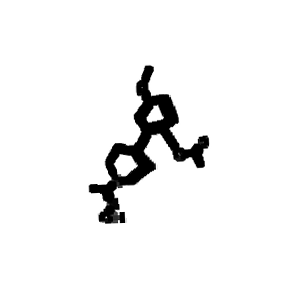 COc1ccc(OC(C)=O)c(C2CCN(C(C)=NO)CC2)c1